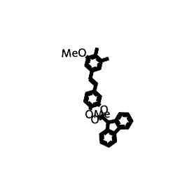 COc1ccc(/C=C/c2cc(C)c(C)c(OC)c2)cc1OC(=O)C1c2ccccc2-c2ccccc21